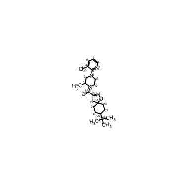 CC1CN(c2ncccc2Cl)CCN1C(=O)C1=NOC2(CCC(C(C)(C)C)CC2)C1